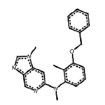 Cc1c(OCc2ccccc2)cccc1N(C)c1cc2c(cn1)ncn2C